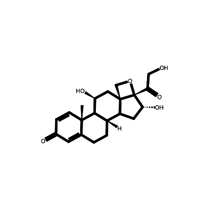 C[C@]12C=CC(=O)C=C1CC[C@H]1C3C[C@@H](O)[C@@]4(C(=O)CO)OC[C@]34C[C@H](O)C12